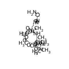 C=CC[C@H]1NC[C@H](C)C[C@@](C)(OC)[C@H](O[C@@H]2O[C@H](C)CC(N(C)C)C2O)[C@@H](C)C(=O)[C@@H](C)C(=O)O[C@H](CC)[C@@]2(C)OC(=O)N(CCCCn3cc(-c4cccc(N)c4)nn3)[C@H]12